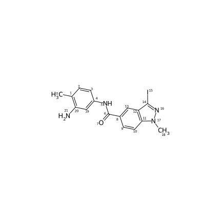 Cc1ccc(NC(=O)c2ccc3c(c2)c(I)nn3C)cc1N